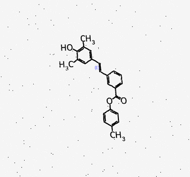 Cc1ccc(OC(=O)c2cccc(/C=C/c3cc(C)c(O)c(C)c3)c2)cc1